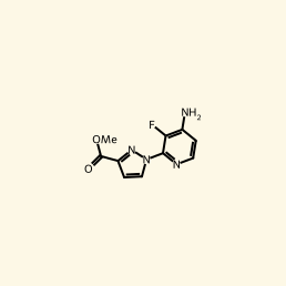 COC(=O)c1ccn(-c2nccc(N)c2F)n1